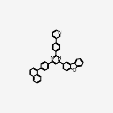 c1cncc(-c2ccc(-c3nc(-c4ccc(-c5cccc6ccccc56)cc4)cc(-c4ccc5oc6ccccc6c5c4)n3)cc2)c1